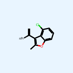 C=C(CCC)c1c(C)oc2cccc(Cl)c12